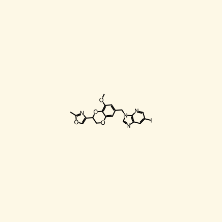 COc1cc(Cn2cnc3cc(I)cnc32)cc2c1OC(c1coc(C)n1)CO2